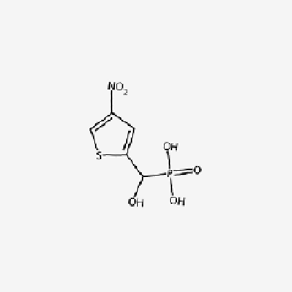 O=[N+]([O-])c1csc(C(O)P(=O)(O)O)c1